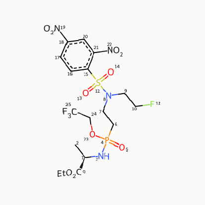 CCOC(=O)[C@@H](C)NP(=O)(CCN(CCF)S(=O)(=O)c1ccc([N+](=O)[O-])cc1[N+](=O)[O-])OCC(F)(F)F